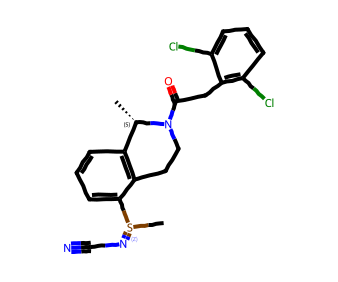 C[C@H]1c2cccc(/S(C)=N\C#N)c2CCN1C(=O)Cc1c(Cl)cccc1Cl